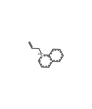 C=C[CH][14c]1cccc2ccccc21